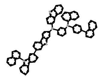 c1cc(N(c2ccc3c(c2)sc2cc(-c4ccc5c6ccccc6n(-c6cccc7ccccc67)c5c4)ccc23)c2ccc3sc4ccccc4c3c2)cc(N(c2ccc(-c3cccc4ccccc34)cc2)c2cccc3ccccc23)c1